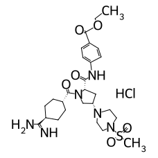 CCOC(=O)c1ccc(NC(=O)[C@@H]2C[C@H](N3CCN(S(C)(=O)=O)CC3)CN2C(=O)[C@H]2CC[C@H](C(=N)N)CC2)cc1.Cl